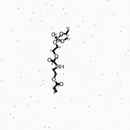 C=CC(=O)OCCNC(=O)OCCOP(=O)(OC)OCC